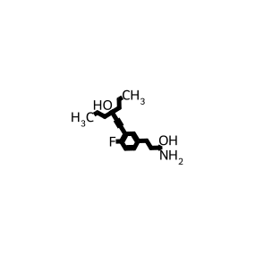 CCCC(O)(C#Cc1cc(CCC(N)O)ccc1F)CCC